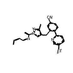 C=C(/N=C\C=C/C)n1cc(Cc2cc(C#N)ccc2-c2ccc(CC)cn2)c(C)n1